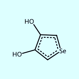 Oc1c[se]cc1O